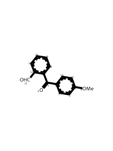 COc1ccc(C(=O)c2ccccc2[C]=O)cc1